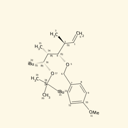 C=C[C@H](C)[C@H](OCc1ccc(OC)cc1)[C@@H](C)[C@H](O[Si](C)(C)C(C)(C)C)[C@@H](C)CC